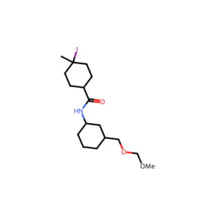 COCOCC1CCCC(NC(=O)C2CCC(C)(I)CC2)C1